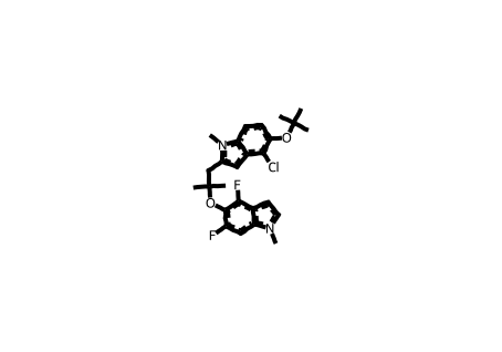 Cn1ccc2c(F)c(OC(C)(C)Cc3cc4c(Cl)c(OC(C)(C)C)ccc4n3C)c(F)cc21